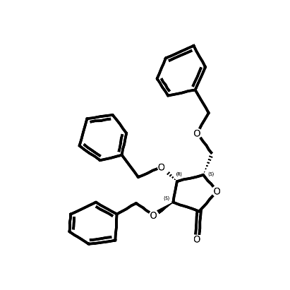 O=C1O[C@@H](COCc2ccccc2)[C@@H](OCc2ccccc2)[C@@H]1OCc1ccccc1